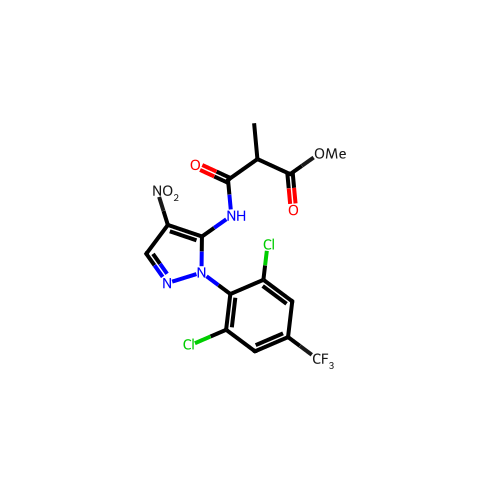 COC(=O)C(C)C(=O)Nc1c([N+](=O)[O-])cnn1-c1c(Cl)cc(C(F)(F)F)cc1Cl